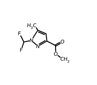 COC(=O)c1cc(C)n(C(F)F)n1